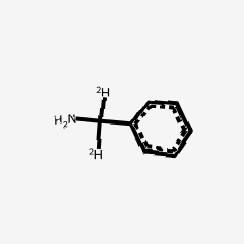 [2H]C([2H])(N)c1ccccc1